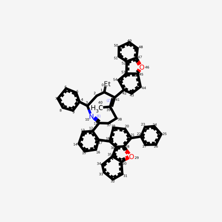 CCC1CC(c2ccccc2)/N=C(/c2ccccc2-c2ccc(-c3ccccc3)c3oc4ccccc4c23)CC/C(C)=C/1c1ccc2oc3ccccc3c2c1